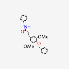 COc1cc(C=CC(=O)NCc2ccccc2)cc(OC)c1OCc1ccccc1